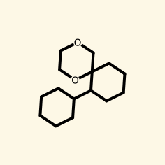 C1CCC(C2CCCCC23COCCO3)CC1